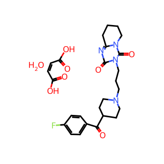 O.O=C(O)/C=C\C(=O)O.O=C(c1ccc(F)cc1)C1CCN(CCCn2c(=O)nc3n(c2=O)CCCC3)CC1